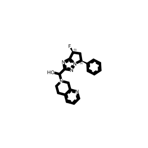 OC(c1nc2n(n1)[C@H](c1ccccc1)C[C@@H]2F)N1CCc2cccnc2C1